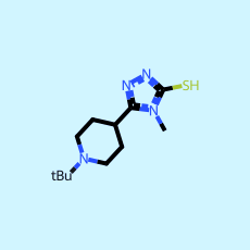 Cn1c(S)nnc1C1CCN(C(C)(C)C)CC1